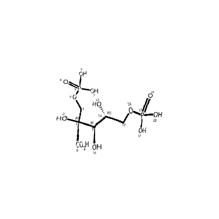 O=C(O)[C@@](O)(COP(=O)(O)O)[C@H](O)[C@H](O)COP(=O)(O)O